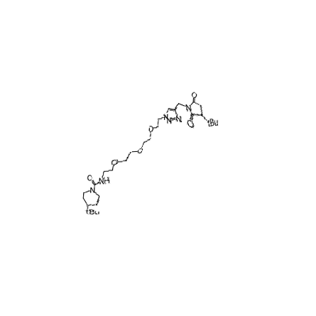 CC(C)(C)C1CCN(C(=O)NCCOCCOCCOCCn2cc(CN3C(=O)CC(C(C)(C)C)C3=O)nn2)CC1